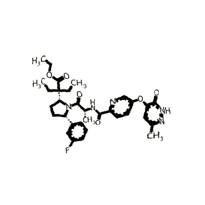 CCOC(=O)C(CC)(CC)[C@H]1CC[C@@H](c2cccc(F)c2)N1C(=O)[C@@H](C)NC(=O)c1ccc(Oc2cc(C)n[nH]c2=O)cn1